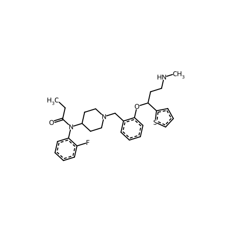 CCC(=O)N(c1ccccc1F)C1CCN(Cc2ccccc2OC(CCNC)c2cccs2)CC1